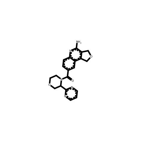 Nc1nc2ccc(C(=O)N3CCOCC3c3ncccn3)cc2c2c1COC2